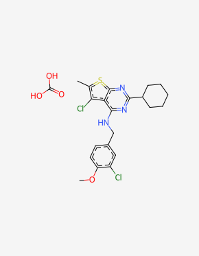 COc1ccc(CNc2nc(C3CCCCC3)nc3sc(C)c(Cl)c23)cc1Cl.O=C(O)O